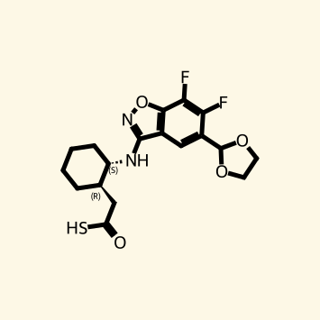 O=C(S)C[C@H]1CCCC[C@@H]1Nc1noc2c(F)c(F)c(C3OCCO3)cc12